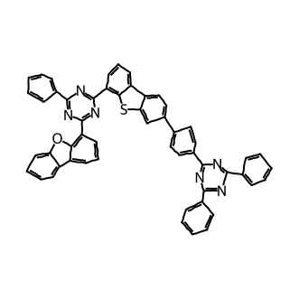 c1ccc(-c2nc(-c3ccccc3)nc(-c3ccc(-c4ccc5c(c4)sc4c(-c6nc(-c7ccccc7)nc(-c7cccc8c7oc7ccccc78)n6)cccc45)cc3)n2)cc1